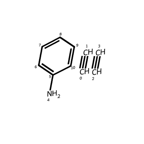 C#C.C#C.Nc1ccccc1